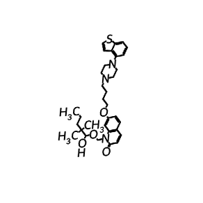 CCCC(C)(C)C(O)OCn1c(=O)ccc2ccc(OCCCCN3CCN(c4cccc5sccc45)CC3)cc21